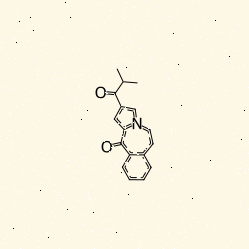 CC(C)C(=O)c1cc2c(=O)c3ccccc3ccn2c1